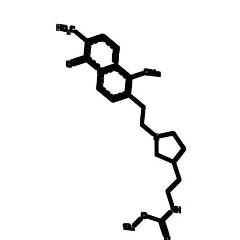 COc1c(CCN2CCC(CCNC(=O)OC(C)(C)C)C2)ccn2c(=O)c(C(=O)O)ccc12